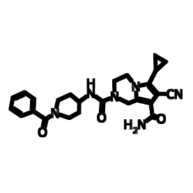 N#Cc1c(C(N)=O)c2n(c1C1CC1)CCN(C(=O)NC1CCN(C(=O)c3ccccc3)CC1)C2